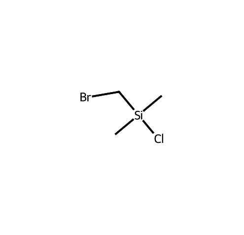 C[Si](C)(Cl)CBr